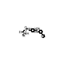 CCC(COC(=O)NCc1ccc(C(=O)Nc2cc(-c3cccs3)ccc2N)cc1)[PH](=O)O